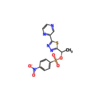 CC(OS(=O)(=O)c1ccc([N+](=O)[O-])cc1)c1nnc(-c2cnccn2)s1